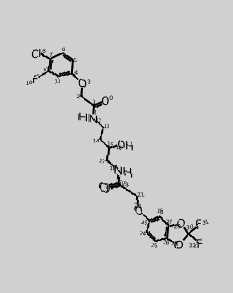 O=C(COc1ccc(Cl)c(F)c1)NCCC(O)CNC(=O)COc1ccc2c(c1)OC(F)(F)O2